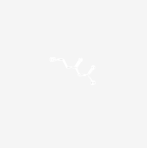 CCC(=O)OC(=O)CCS